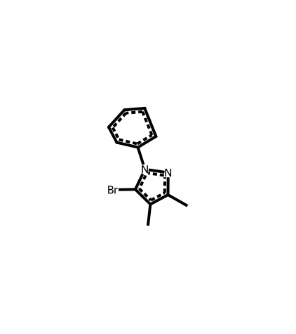 Cc1nn(-c2ccccc2)c(Br)c1C